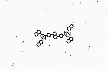 c1ccc2cc(-c3nc(-c4ccc(-c5cccc6c(-c7ccc(-c8cc(-c9cccc%10ccccc9%10)nc(-c9ccc%10ccccc%10c9)n8)cc7)cccc56)cc4)cc(-c4cccc5ccccc45)n3)ccc2c1